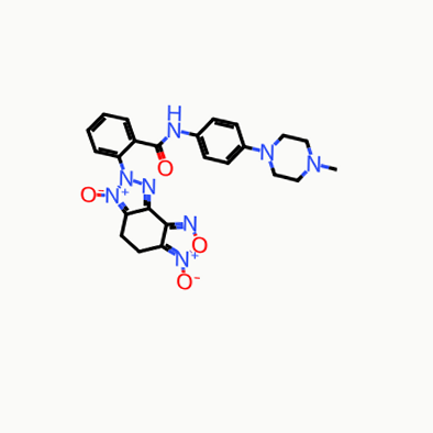 CN1CCN(c2ccc(NC(=O)c3ccccc3-n3nc4c([n+]3[O-])CCc3c-4no[n+]3[O-])cc2)CC1